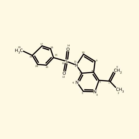 C=C(C)c1ncnc2c1ccn2S(=O)(=O)c1ccc(C)cc1